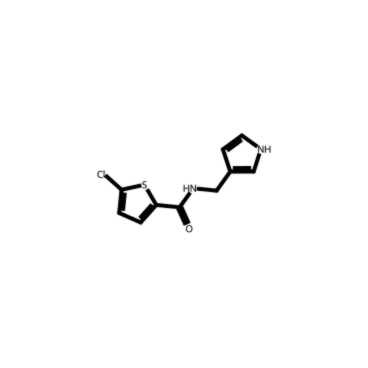 O=C(NCc1cc[nH]c1)c1ccc(Cl)s1